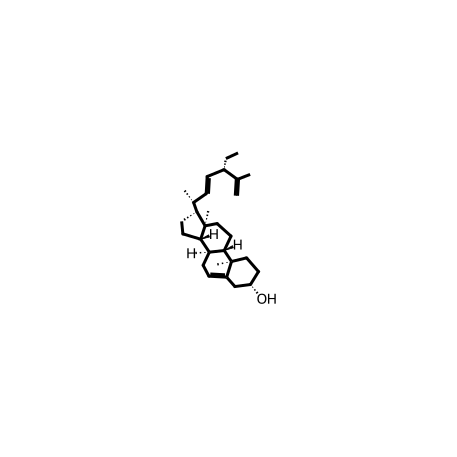 C=C(C)[C@H](/C=C/[C@@H](C)[C@H]1CC[C@H]2[C@@H]3CC=C4C[C@@H](O)CC[C@]4(C)[C@H]3CC[C@]12C)CC